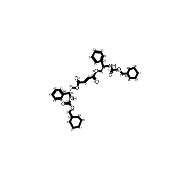 O=C(/C=C/C(=O)OC[C@H](NC(=O)OCC1CCCCC1)c1ccccc1)OC[C@H](NC(=O)OCC1CCCCC1)c1ccccc1